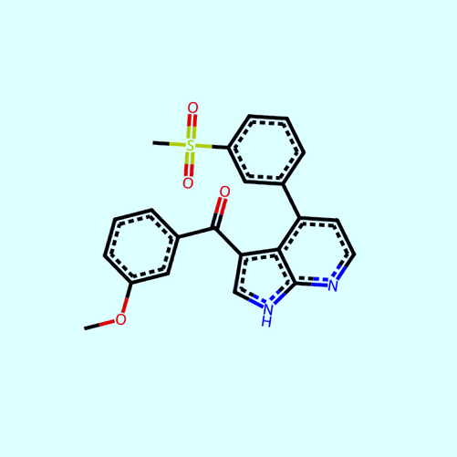 COc1cccc(C(=O)c2c[nH]c3nccc(-c4cccc(S(C)(=O)=O)c4)c23)c1